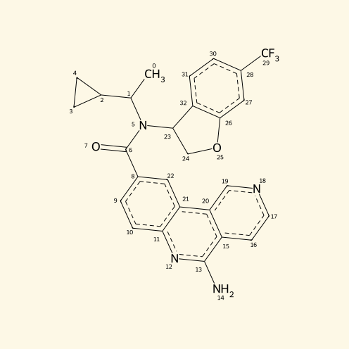 CC(C1CC1)N(C(=O)c1ccc2nc(N)c3ccncc3c2c1)C1COc2cc(C(F)(F)F)ccc21